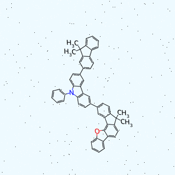 CC1(C)c2ccccc2-c2ccc(-c3ccc4c(c3)c3cc(-c5ccc6c(c5)-c5c(ccc7c5oc5ccccc57)C6(C)C)ccc3n4-c3ccccc3)cc21